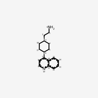 NCC[C@H]1CC[C@@H](c2ccnc3ccccc32)CC1